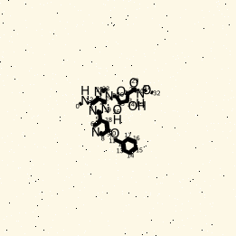 CNc1nc(-c2cncc(OCc3ccccc3)c2)nc2c1ncn2C1OC(C(=O)NOC)C(O)C1O